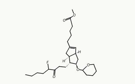 CCCCC(F)C(=O)CC[C@@H]1[C@H]2CC(CCCCC(=O)OC)=C[C@H]2C[C@H]1OC1CCCCO1